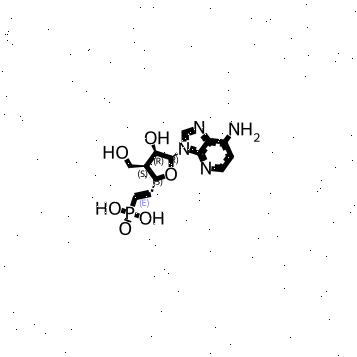 Nc1ccnc2c1ncn2[C@@H]1O[C@H](/C=C/P(=O)(O)O)[C@@H](CO)[C@H]1O